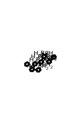 Bc1c(B)c(B)c2c(c1B)c1c(B)c(-c3ccc4c(c3)c3c(-c5ccccc5)cccc3n4-c3ccccc3)c(B)c(B)c1n2-c1cccc2c1oc1ccccc12